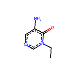 CCn1cncc(N)c1=O